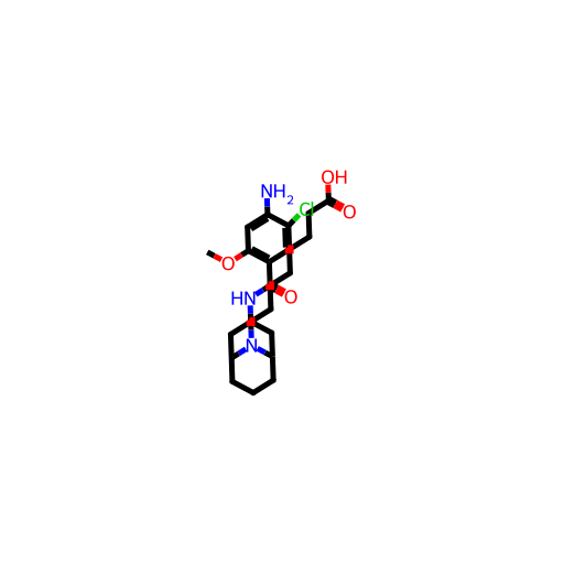 COc1cc(N)c(Cl)cc1C(=O)NC1CC2CCCC(C1)N2CCCCCCCC(=O)O